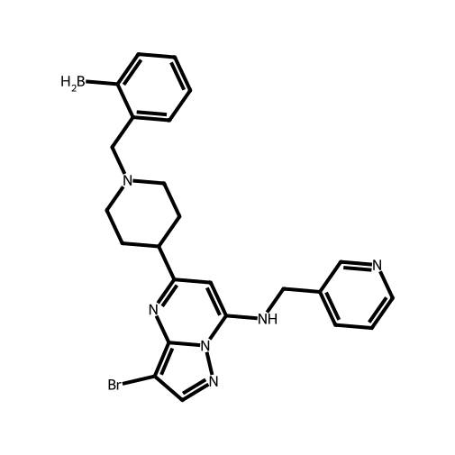 Bc1ccccc1CN1CCC(c2cc(NCc3cccnc3)n3ncc(Br)c3n2)CC1